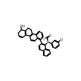 NC(=O)N(c1cccc(Cl)c1)c1c(-c2cccc3c4c(ccc23)C2=C(CC4)C(O)CC=C2)ccc2ccccc12